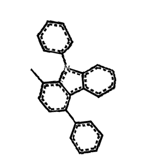 Cc1ccc(-c2ccccc2)c2c3ccccc3n(-c3ccccc3)c12